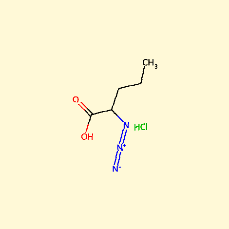 CCCC(N=[N+]=[N-])C(=O)O.Cl